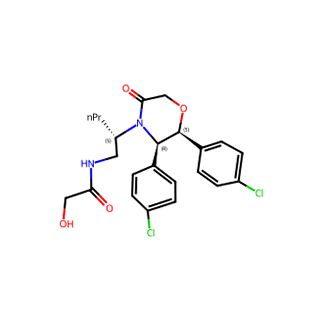 CCC[C@@H](CNC(=O)CO)N1C(=O)CO[C@@H](c2ccc(Cl)cc2)[C@H]1c1ccc(Cl)cc1